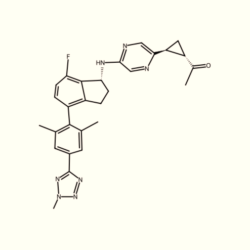 CC(=O)[C@H]1C[C@@H]1c1cnc(N[C@@H]2CCc3c(-c4c(C)cc(-c5nnn(C)n5)cc4C)ccc(F)c32)cn1